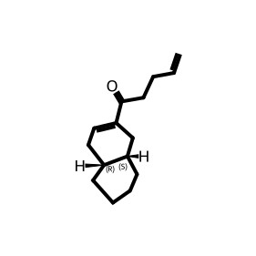 C=CCCC(=O)C1=CC[C@H]2CCCC[C@H]2C1